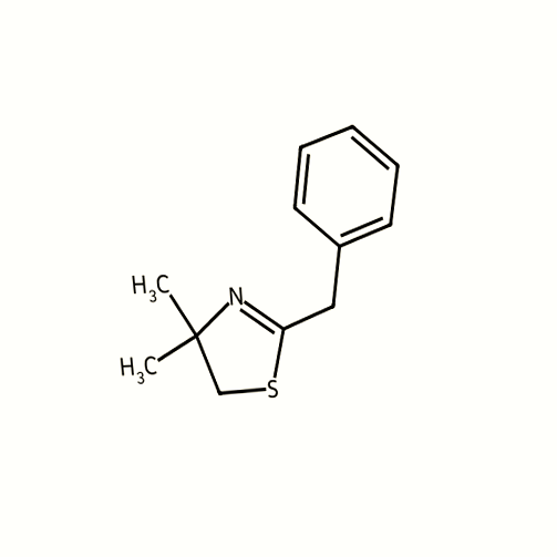 CC1(C)CSC(Cc2ccccc2)=N1